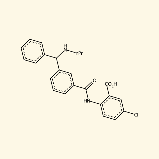 CCCNC(c1ccccc1)c1cccc(C(=O)Nc2ccc(Cl)cc2C(=O)O)c1